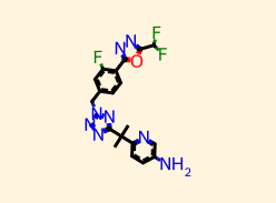 CC(C)(c1ccc(N)cn1)c1nnn(Cc2ccc(-c3nnc(C(F)F)o3)c(F)c2)n1